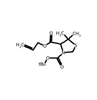 C=CCOC(=O)C1N(C(=O)OC(C)(C)C)CSC1(C)C